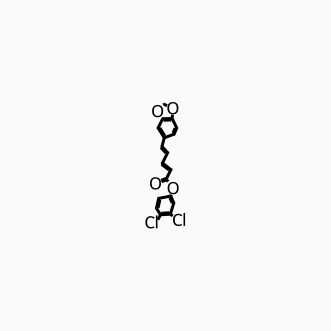 O=C(/C=C/C=C/c1ccc2c(c1)OCO2)Oc1ccc(Cl)c(Cl)c1